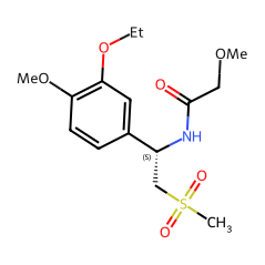 CCOc1cc([C@@H](CS(C)(=O)=O)NC(=O)COC)ccc1OC